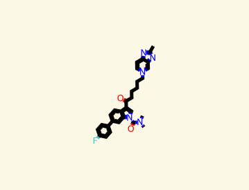 Cc1nc2ccn(CCCCCC(=O)c3cn(C(=O)N(C)C)c4cc(-c5ccc(F)cc5)ccc34)cc-2n1